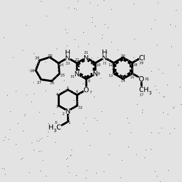 CCN1CCCC(Oc2nc(Nc3ccc(OC)c(Cl)c3)nc(NC3CCCCCC3)n2)C1